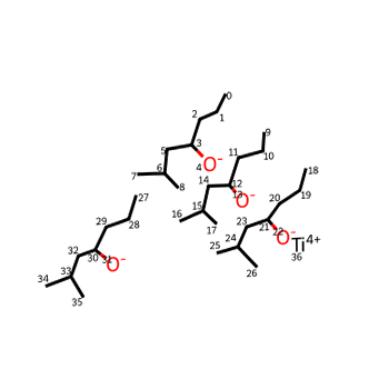 CCCC([O-])CC(C)C.CCCC([O-])CC(C)C.CCCC([O-])CC(C)C.CCCC([O-])CC(C)C.[Ti+4]